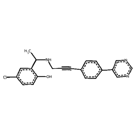 CC(NCC#Cc1ccc(-c2cncnc2)cc1)c1cc(Cl)ccc1O